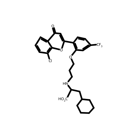 O=C(O)C(CC1CCCCC1)NCCCOc1cc(C(F)(F)F)ccc1-c1cc(=O)c2cccc(Cl)c2o1